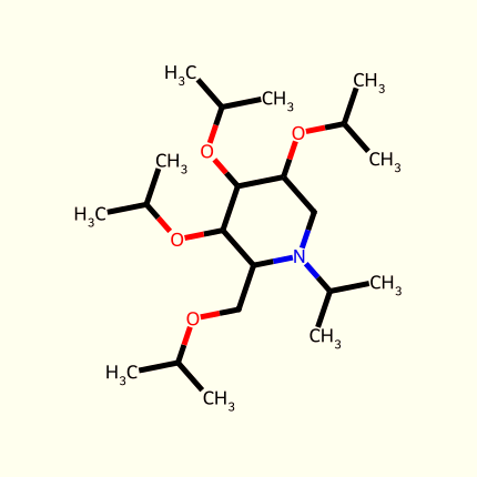 CC(C)OCC1C(OC(C)C)C(OC(C)C)C(OC(C)C)CN1C(C)C